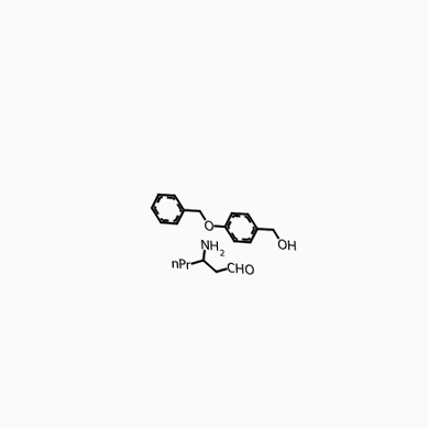 CCCC(N)CC=O.OCc1ccc(OCc2ccccc2)cc1